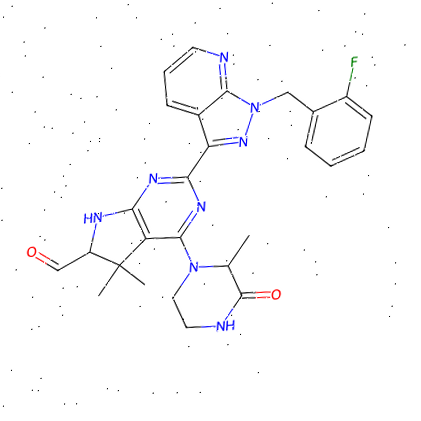 CC1C(=O)NCCN1c1nc(-c2nn(Cc3ccccc3F)c3ncccc23)nc2c1C(C)(C)C(C=O)N2